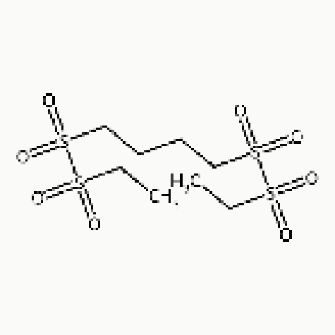 CCS(=O)(=O)S(=O)(=O)CCCCS(=O)(=O)S(=O)(=O)CC